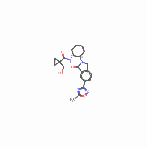 O=C1c2cc(-c3noc(C(F)(F)F)n3)ccc2CN1[C@@H]1CCCC[C@H]1NC(=O)C1(CO)CC1